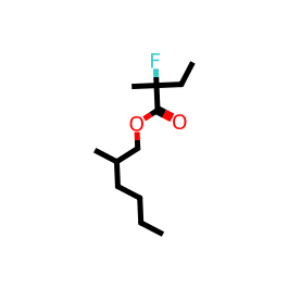 CCCCC(C)COC(=O)C(C)(F)CC